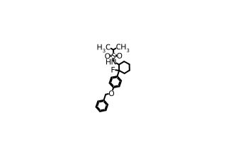 CC(C)S(=O)(=O)NC1CCCCC1(F)c1ccc(OCc2ccccc2)cc1